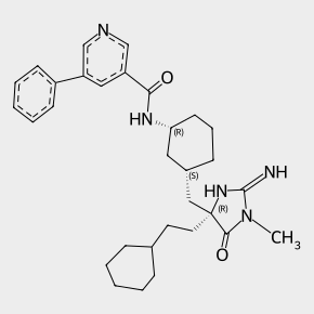 CN1C(=N)N[C@](CCC2CCCCC2)(C[C@H]2CCC[C@@H](NC(=O)c3cncc(-c4ccccc4)c3)C2)C1=O